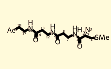 CSC[C@@H](N)C(=O)NCCC(=O)NCCC(=O)NCCC(C)=O